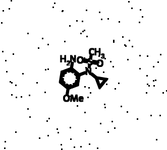 COc1ccc(N)c(N(C2CC2)S(C)(=O)=O)c1